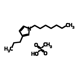 CCCCCCCn1ccc(CCC)c1.CS(=O)(=O)O